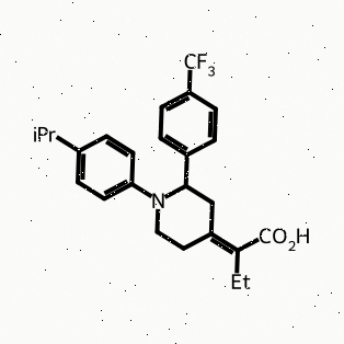 CCC(C(=O)O)=C1CCN(c2ccc(C(C)C)cc2)C(c2ccc(C(F)(F)F)cc2)C1